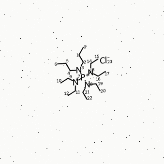 CCCN(CCC)[P+](N(CC)CC)(N(CC)CC)N(CC)CC.[Cl-]